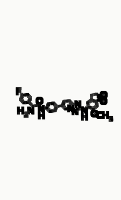 COc1cc2c(cc1Nc1nc3ccc(-c4ccc(NC(=O)[C@H](N)c5ccc(F)cc5)cc4)cn3n1)CCS2(=O)=O